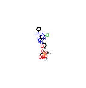 CCOP(=O)(OCC)C(CO)OC[C@@H]1CC[C@H](n2nnc3c(NC4CCCC4)nc(Cl)nc32)O1